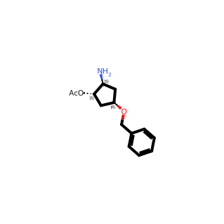 CC(=O)O[C@H]1C[C@H](OCc2ccccc2)C[C@@H]1N